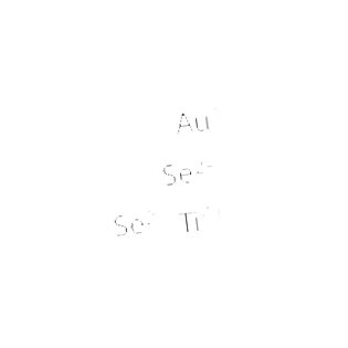 [Au+3].[Se-2].[Se-2].[Ti+4]